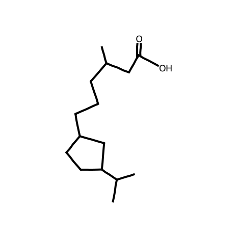 CC(CCCC1CCC(C(C)C)C1)CC(=O)O